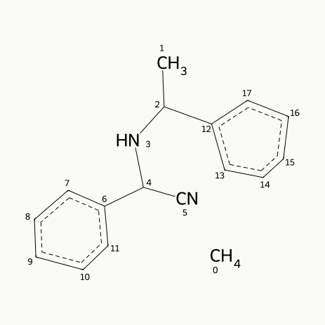 C.CC(NC(C#N)c1ccccc1)c1ccccc1